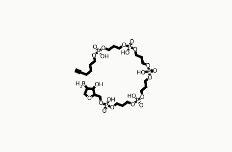 BC1COC(COP(=O)(O)OCCCOP(=O)(O)OCCCOP(=O)(O)OCCCOP(=O)(O)OCCCOP(=O)(O)OCCCCC#C)C1O